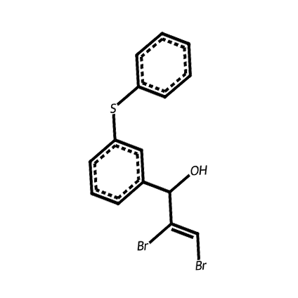 OC(C(Br)=CBr)c1cccc(Sc2ccccc2)c1